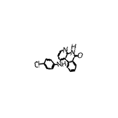 O=c1[nH]c2nccc(Nc3ccc(Cl)cc3)c2c2ccccc12